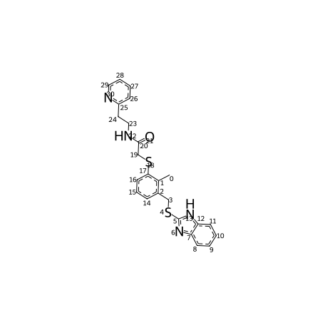 Cc1c(CSc2nc3ccccc3[nH]2)cccc1SCC(=O)NCCc1ccccn1